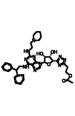 CC(=O)OCCn1nnc([C@H]2O[C@@H](n3cnc4c(NCC(c5ccccc5)c5ccccc5)nc(NCCN5CCCCC5)nc43)[C@H](O)[C@@H]2O)n1